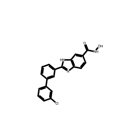 O=C(NO)c1ccc2nc(-c3cccc(-c4cccc(Cl)c4)c3)[nH]c2c1